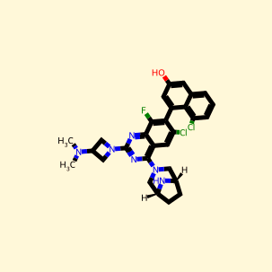 CN(C)C1CN(c2nc(N3C[C@H]4CC[C@@H](C3)N4)c3cc(Cl)c(-c4cc(O)cc5cccc(Cl)c45)c(F)c3n2)C1